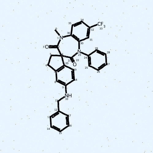 CN1C(=O)C2(CCc3cc(NCc4ccccc4)ccc32)C(=O)N(c2ccccc2)c2cc(C(F)(F)F)ccc21